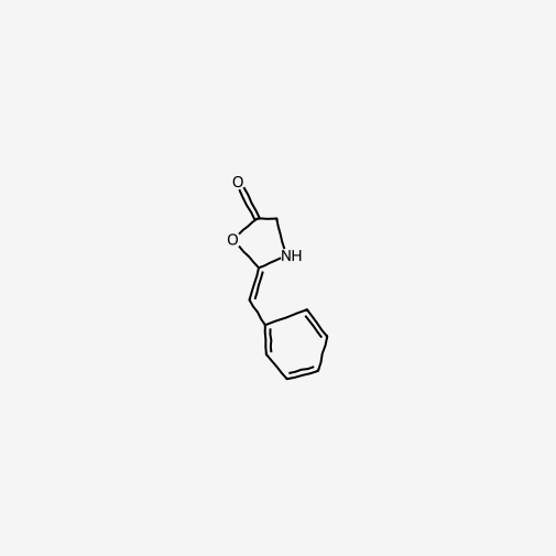 O=C1CN/C(=C\c2ccccc2)O1